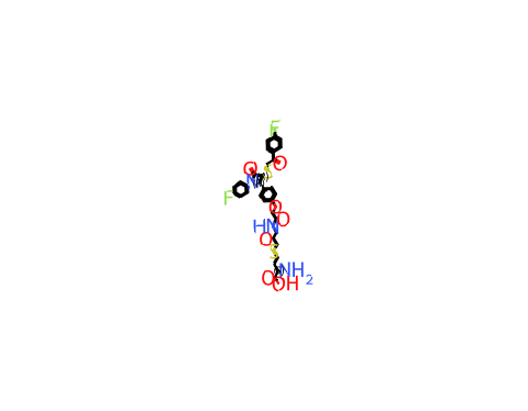 N[C@@H](CCSCC(=O)CNC(=O)COc1ccc([C@@H]2[C@@H](SCC(=O)c3ccc(F)cc3)C(=O)N2c2ccc(F)cc2)cc1)C(=O)O